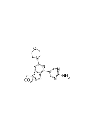 Nc1ncc(-c2nc(N3CCOCC3)nc3c2cnn3CC(=O)O)cn1